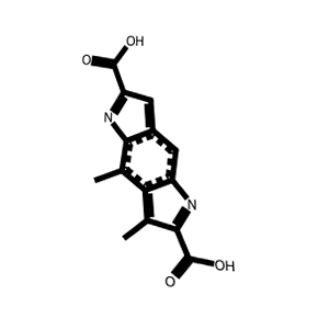 CC1=c2c(cc3c(c2C)N=C(C(=O)O)C=3)N=C1C(=O)O